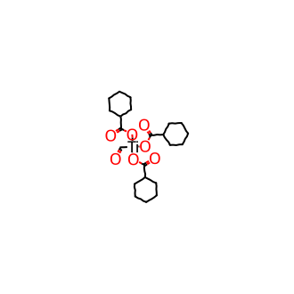 O=[CH][Ti]([O]C(=O)C1CCCCC1)([O]C(=O)C1CCCCC1)[O]C(=O)C1CCCCC1